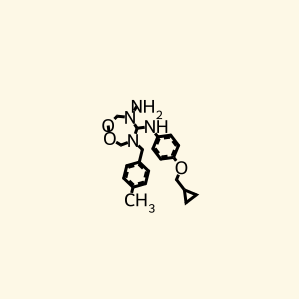 Cc1ccc(CN2COOCN(N)C2Nc2ccc(OCC3CC3)cc2)cc1